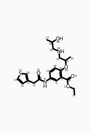 CCOC(=O)c1cc(NC(=O)Cc2ccsc2)ccc1OC(C)CNCC(C)O